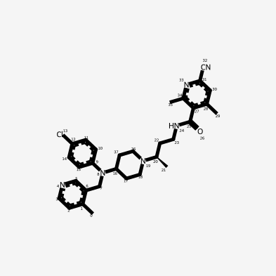 Cc1ccncc1CN(c1ccc(Cl)cc1)C1CCN([C@H](C)CCNC(=O)c2c(C)cc(C#N)nc2C)CC1